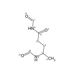 CC(CCC(=O)NC=O)NC=O